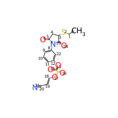 CCSC1CC(=O)N(c2cccc(OS(=O)(=O)O/C=C/C#N)c2)C1=O